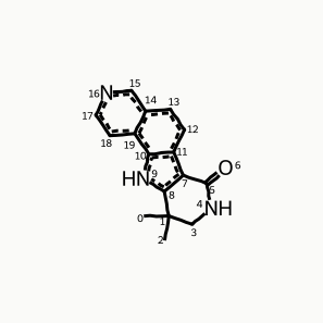 CC1(C)CNC(=O)c2c1[nH]c1c2ccc2cnccc21